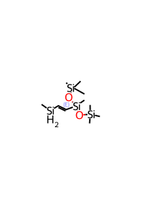 C[SiH2]/C=C/[Si](C)(O[Si](C)(C)C)O[Si](C)(C)C